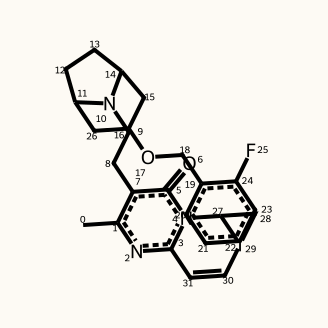 Cc1nc2n(c(=O)c1CCN1C3CCC1CC(OCc1ccccc1F)C3)C1CI1C=C2